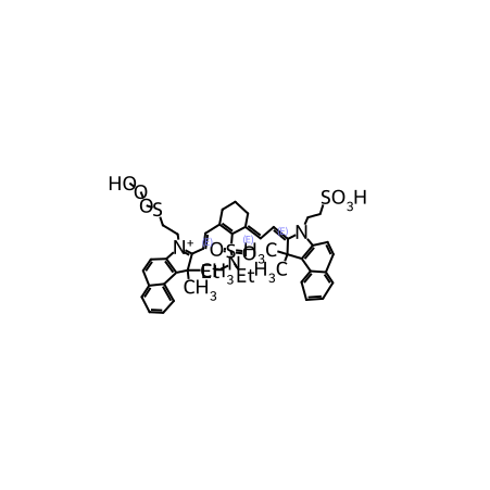 CCN(CC)S(=O)(=O)C1=C(/C=C/C2=[N+](CCSOOO)c3ccc4ccccc4c3C2(C)C)CCC/C1=C\C=C1\N(CCS(=O)(=O)O)c2ccc3ccccc3c2C1(C)C